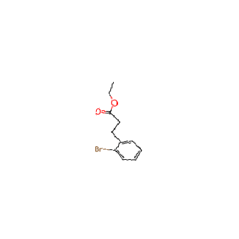 CCOC(=O)CCc1ccccc1Br